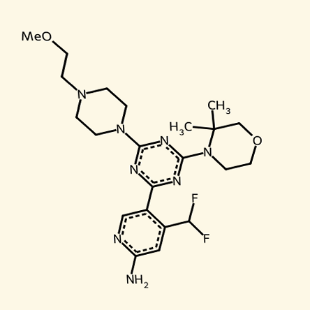 COCCN1CCN(c2nc(-c3cnc(N)cc3C(F)F)nc(N3CCOCC3(C)C)n2)CC1